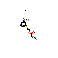 C=CC(=O)OCCSc1cccc(OC)c1